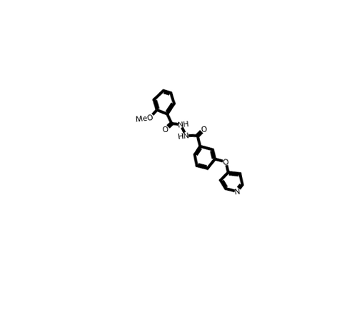 COc1ccccc1C(=O)NNC(=O)c1cccc(Oc2ccncc2)c1